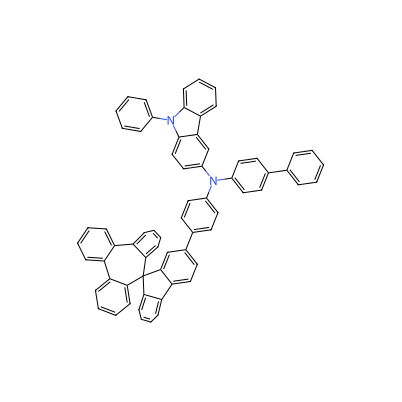 c1ccc(-c2ccc(N(c3ccc(-c4ccc5c(c4)C4(c6ccccc6-c6ccccc6-c6ccccc64)c4ccccc4-5)cc3)c3ccc4c(c3)c3ccccc3n4-c3ccccc3)cc2)cc1